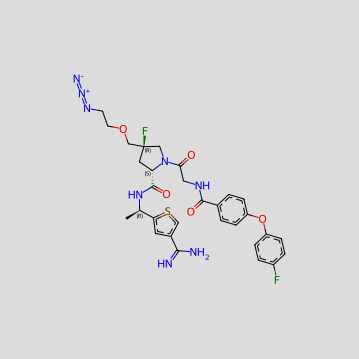 C[C@@H](NC(=O)[C@@H]1C[C@](F)(COCCN=[N+]=[N-])CN1C(=O)CNC(=O)c1ccc(Oc2ccc(F)cc2)cc1)c1cc(C(=N)N)cs1